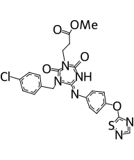 COC(=O)CCn1c(=O)[nH]/c(=N\c2ccc(Oc3ncns3)cc2)n(Cc2ccc(Cl)cc2)c1=O